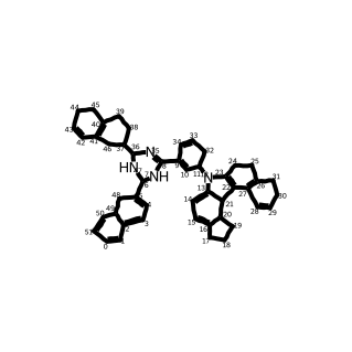 C1=CC2=CC=C(C3NC(C4=CC(N5C6=CC=C7CCCC7C6C6=C5CCC5=C6C=CCC5)CC=C4)=NC(C4CCC5=C(C=CCC5)C4)N3)CC2C=C1